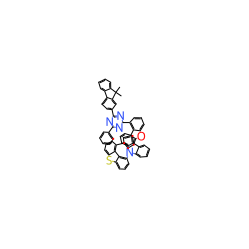 CC1(C)c2ccccc2-c2ccc(-c3nc(-c4ccccc4)nc(-c4cccc5oc6ccc(-c7cccc8sc9cccc(-n%10c%11ccccc%11c%11ccccc%11%10)c9c78)cc6c45)n3)cc21